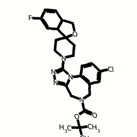 CC(C)(C)OC(=O)N1Cc2cc(Cl)ccc2-n2c(nnc2N2CCC3(CC2)OCC2C=CC(F)=CC23)C1